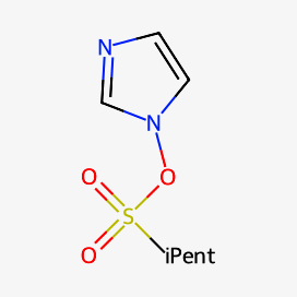 CCCC(C)S(=O)(=O)On1ccnc1